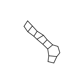 C1CC2C1CCC1C2C2C1C1C3C4CCC4C3C21